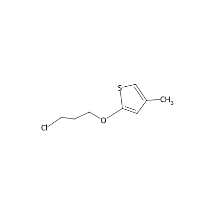 Cc1csc(OCCCCl)c1